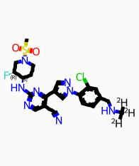 [2H]C([2H])([2H])NCc1ccc(-n2cc(-c3nc(N[C@H]4CCN(S(C)(=O)=O)C[C@H]4F)ncc3C#N)cn2)c(Cl)c1